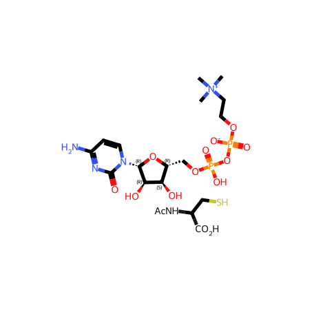 CC(=O)NC(CS)C(=O)O.C[N+](C)(C)CCOP(=O)([O-])OP(=O)(O)OC[C@H]1O[C@@H](n2ccc(N)nc2=O)[C@H](O)[C@@H]1O